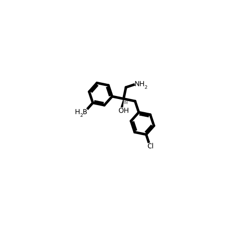 Bc1cccc([C@](O)(CN)Cc2ccc(Cl)cc2)c1